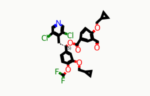 O=Cc1cc(C(=O)O[C@@H](Cc2c(Cl)cncc2Cl)c2ccc(OC(F)F)c(OCC3CC3)c2)ccc1OCC1CC1